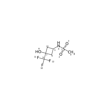 CS(=O)(=O)NC1CC(O)(C(F)(F)F)C1